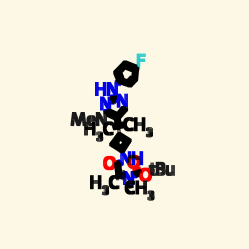 CNc1nc(Nc2ccc(F)cc2)ncc1C(C)(C)[C@H]1C[C@@H](NC(=O)[C@H](C)N(C)C(=O)OC(C)(C)C)C1